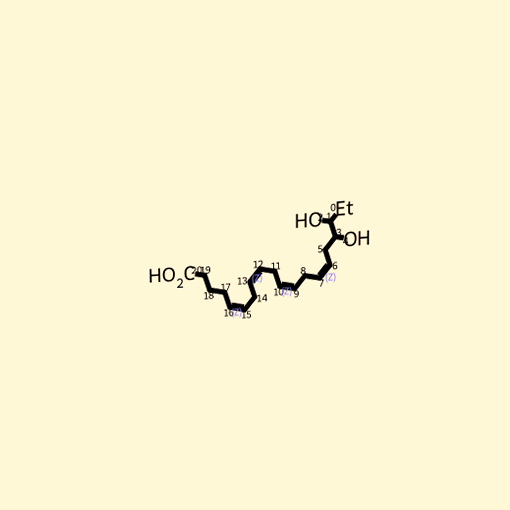 CCC(O)C(O)C/C=C\C/C=C\C/C=C\C/C=C\CCCC(=O)O